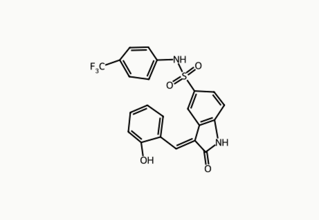 O=C1Nc2ccc(S(=O)(=O)Nc3ccc(C(F)(F)F)cc3)cc2C1=Cc1ccccc1O